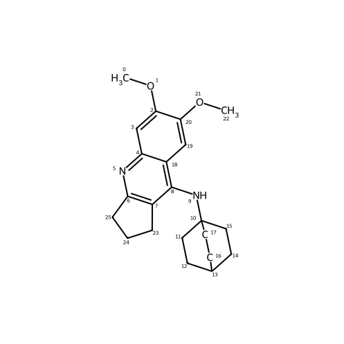 COc1cc2nc3c(c(NC45CCC(CC4)CC5)c2cc1OC)CCC3